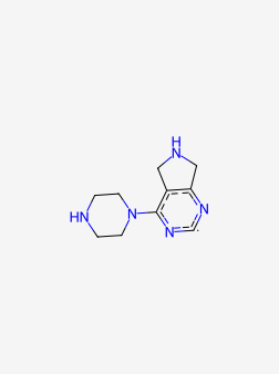 [c]1nc2c(c(N3CCNCC3)n1)CNC2